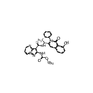 C[C@H](NC(=O)c1c(NC(=O)OC(C)(C)C)nn2cccnc12)c1cc2cccc(O)c2c(=O)n1-c1ccccc1